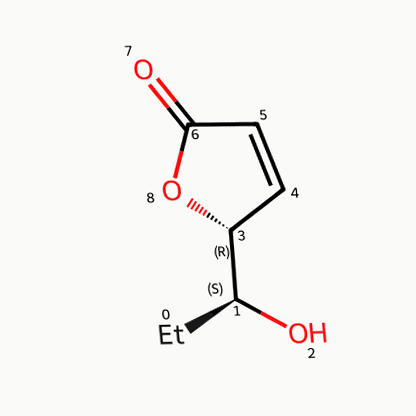 CC[C@H](O)[C@H]1C=CC(=O)O1